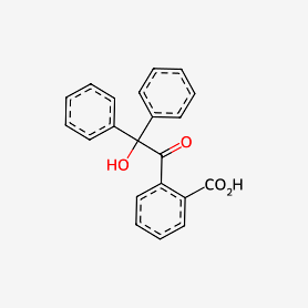 O=C(O)c1ccccc1C(=O)C(O)(c1ccccc1)c1ccccc1